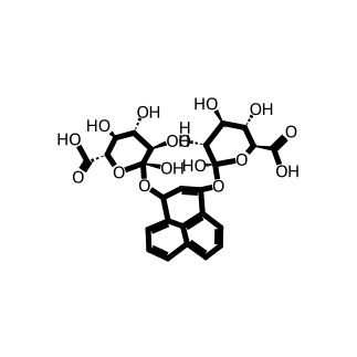 O=C(O)[C@H]1O[C@@](O)(OC2=CC(O[C@]3(O)O[C@H](C(=O)O)[C@@H](O)[C@H](O)[C@H]3O)c3cccc4cccc2c34)[C@H](O)[C@@H](O)[C@@H]1O